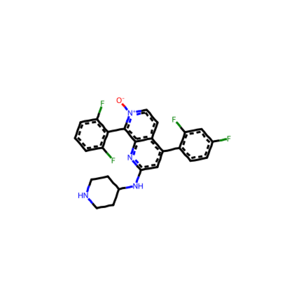 [O-][n+]1ccc2c(-c3ccc(F)cc3F)cc(NC3CCNCC3)nc2c1-c1c(F)cccc1F